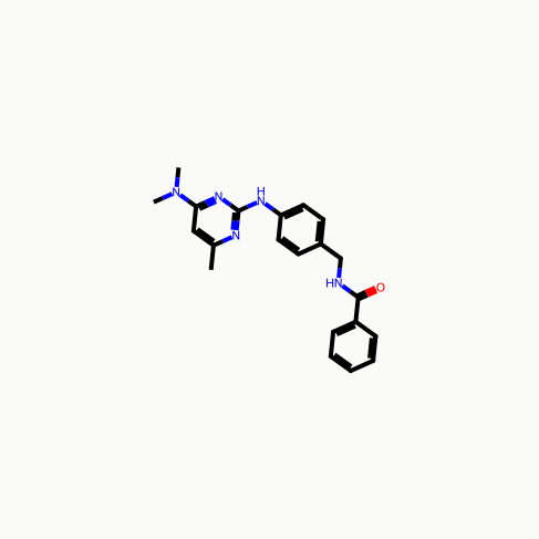 Cc1cc(N(C)C)nc(Nc2ccc(CNC(=O)c3ccccc3)cc2)n1